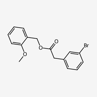 COc1ccccc1COC(=O)Cc1cccc(Br)c1